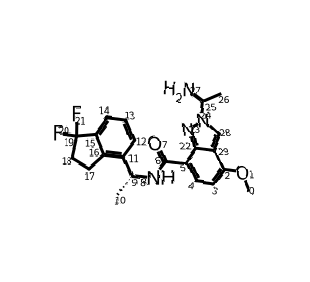 COc1ccc(C(=O)N[C@H](C)c2cccc3c2CCC3(F)F)c2nn(C(C)N)cc12